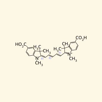 CN1/C(=C/C=C/C=C/C2=[N+](C)c3ccc(C(=O)O)cc3C2(C)C)C(C)(C)c2cc(C(=O)O)ccc21